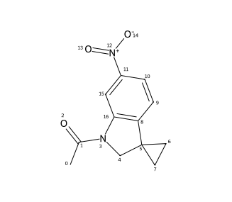 CC(=O)N1CC2(CC2)c2ccc([N+](=O)[O-])cc21